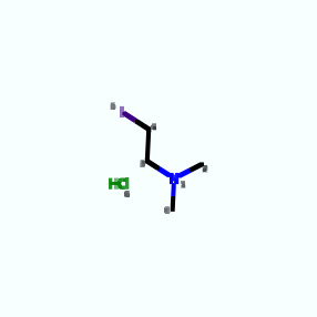 CN(C)CCI.Cl